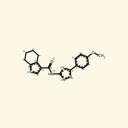 COc1ccc(-c2nnc(NC(=O)c3csc4c3CCCC4)s2)cc1